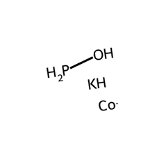 OP.[Co].[KH]